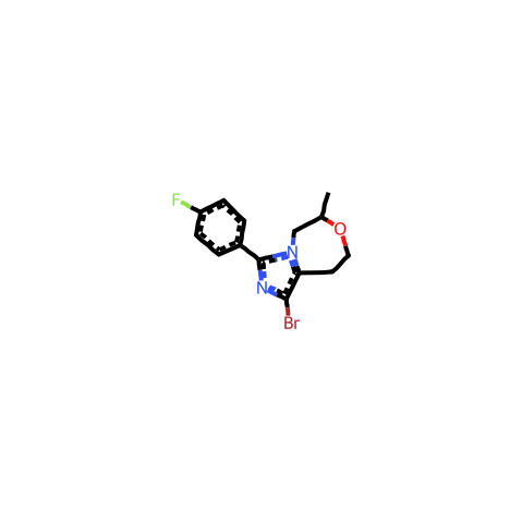 CC1Cn2c(-c3ccc(F)cc3)nc(Br)c2CCO1